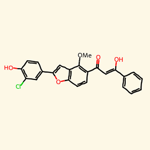 COc1c(C(=O)C=C(O)c2ccccc2)ccc2oc(-c3ccc(O)c(Cl)c3)cc12